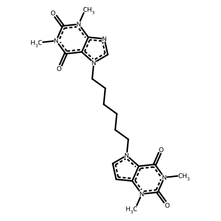 Cn1c(=O)c2c(ccn2CCCCCCn2cnc3c2c(=O)n(C)c(=O)n3C)n(C)c1=O